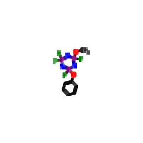 FC(F)(F)OP1(F)=NP(F)(Oc2ccccc2)=NP(F)(F)=N1